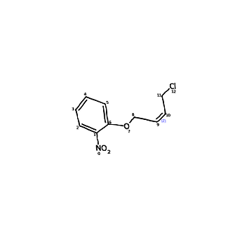 O=[N+]([O-])c1ccccc1OC/C=C\CCl